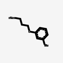 CCCCCCCCCCCCOc1cc[c]c(C(C)(C)C)c1